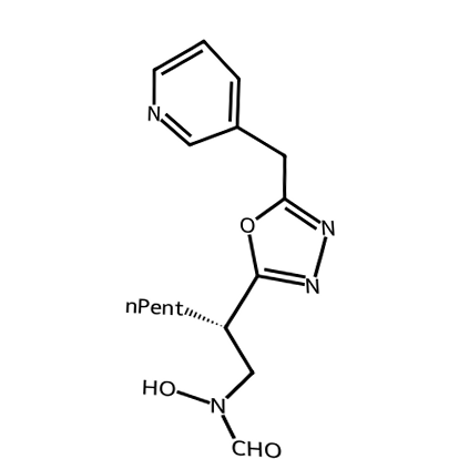 CCCCC[C@@H](CN(O)C=O)c1nnc(Cc2cccnc2)o1